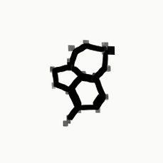 Ic1ccc2c3c1CCN3CCNC2